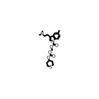 Cc1ccc2c(c1)c(CCN(C)C)cn2C(=O)OCOC(=O)OC1CCSCC1